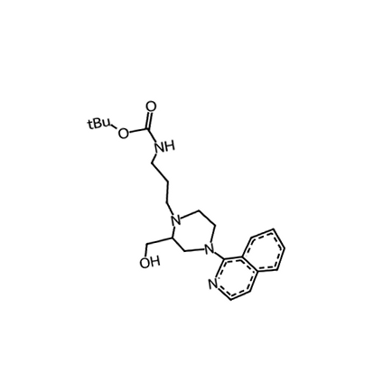 CC(C)(C)OC(=O)NCCCN1CCN(c2nccc3ccccc23)CC1CO